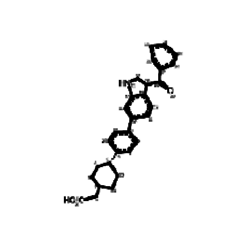 O=C(O)C[C@H]1CC[C@H](c2ccc(-c3ccc4c(c3)NCC4C(=O)c3ccccc3)cc2)CC1